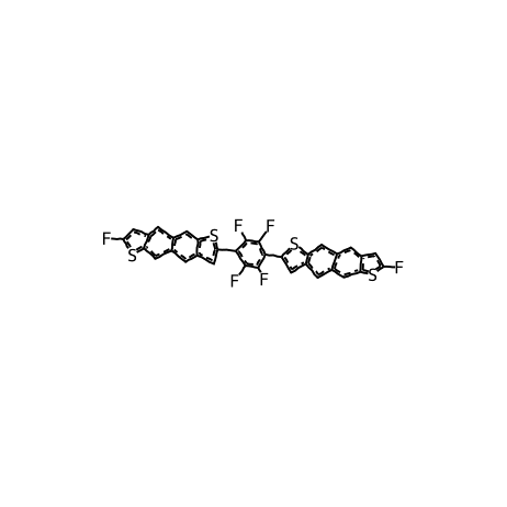 Fc1cc2cc3cc4sc(-c5c(F)c(F)c(-c6cc7cc8cc9sc(F)cc9cc8cc7s6)c(F)c5F)cc4cc3cc2s1